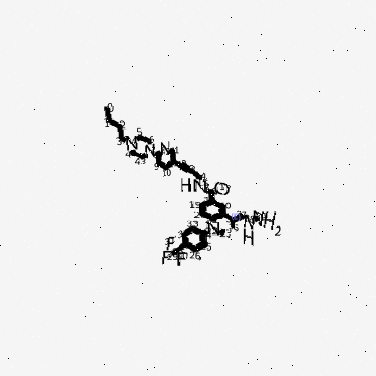 CCCCN1CCN(c2ccc(C#CCNC(=O)c3ccc(N(C)c4ccc(C(F)(F)F)cc4)c(/C(C)=C/NN)c3)cn2)CC1